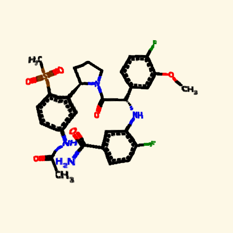 COc1cc([C@H](Nc2cc(C(N)=O)ccc2F)C(=O)N2CCC[C@@H]2c2cc(NC(C)=O)ccc2S(C)(=O)=O)ccc1F